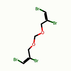 Br/C=C(/Br)COCOC/C(Br)=C\Br